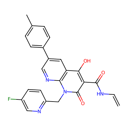 C=CNC(=O)c1c(O)c2cc(-c3ccc(C)cc3)cnc2n(Cc2ccc(F)cn2)c1=O